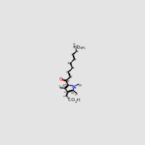 CCCCCCCCCCCCCCCCCC(=O)c1c(C)c(CC(=O)O)c(C)n1C